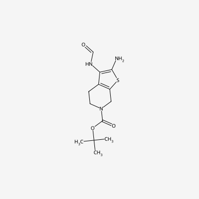 CC(C)(C)OC(=O)N1CCc2c(sc(N)c2NC=O)C1